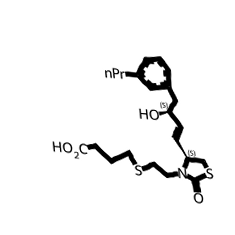 CCCc1cccc(C[C@H](O)C=C[C@H]2CSC(=O)N2CCSCCCC(=O)O)c1